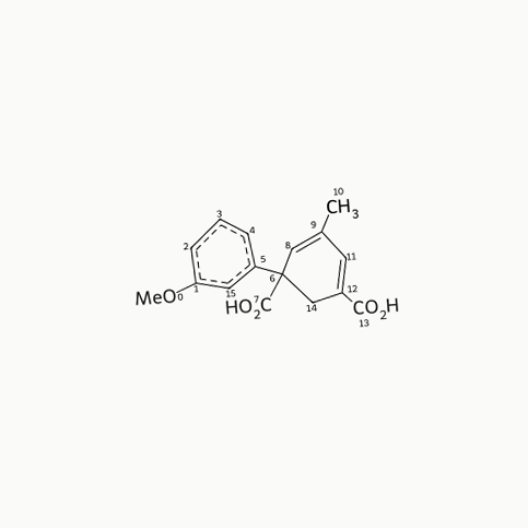 COc1cccc(C2(C(=O)O)C=C(C)C=C(C(=O)O)C2)c1